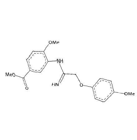 COC(=O)c1ccc(OC)c(NC(=N)COc2ccc(OC)cc2)c1